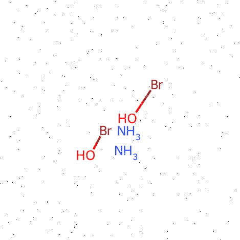 N.N.OBr.OBr